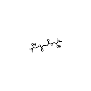 CN(C)C(O)COC(=O)CCC(=O)OCC(O)N(C)C